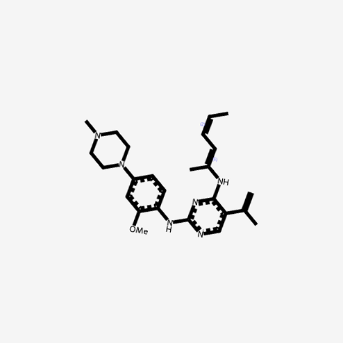 C=C(C)c1cnc(Nc2ccc(N3CCN(C)CC3)cc2OC)nc1N/C(C)=C/C=C\C